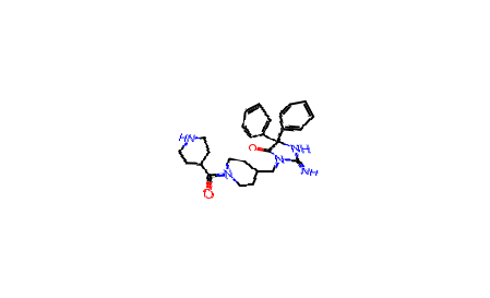 N=C1NC(c2ccccc2)(c2ccccc2)C(=O)N1CC1CCN(C(=O)C2CCNCC2)CC1